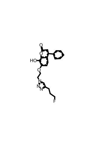 O=c1cc(-c2ccccc2)c2ccc(OCCn3cc(CCCF)nn3)c(O)c2o1